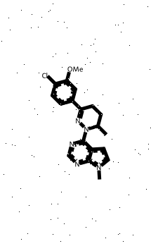 COc1cc(C2=NN(c3ncnc4c3ccn4C)C(C)CC2)ccc1Cl